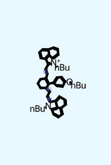 CCCCOc1ccc(C2=C(/C=C/C3=[N+](CCCC)c4cccc5cccc3c45)CCC/C2=C\C=c2/c3cccc4cccc(c43)n2CCCC)cc1